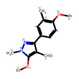 CCOc1c(C=O)c(-c2ccc(OC(C)C)c(C)c2)nn1C